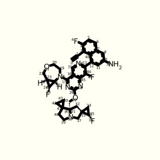 C#Cc1c(F)ccc2cc(N)cc(-c3ncc4c(N5CCOC[C@H]6[C@H](F)[C@H]65)nc(OC[C@]56C[C@]7(C[C@H]7F)CN5CCC65CC5)nc4c3F)c12